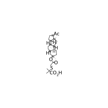 CC(=O)[C@H]1CC[C@H]2[C@@H]3CC[C@H]4C[C@](C)(OC(=O)CSC(C)(C)C(=O)O)CC[C@]4(C)[C@H]3CC[C@]12C